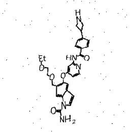 CCOCCOCc1cc2c(ccn2C(N)=O)cc1Oc1ccnc(NC(=O)c2ccc(C3CNC3)cc2)c1